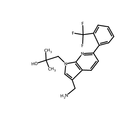 CC(C)(O)Cn1cc(CN)c2ccc(-c3ccccc3C(F)(F)F)nc21